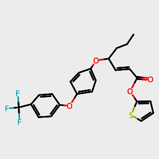 CCCC(C=CC(=O)Oc1cccs1)Oc1ccc(Oc2ccc(C(F)(F)F)cc2)cc1